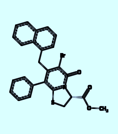 COC(=O)[C@@H]1CSc2c(-c3ccccc3)c(Cc3cccc4ccccc34)c(Br)c(=O)n21